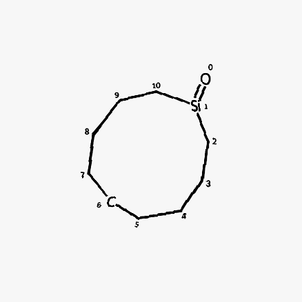 O=[Si]1CCCCCCCCC1